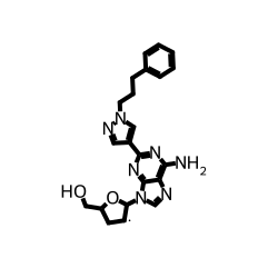 Nc1nc(-c2cnn(CCCc3ccccc3)c2)nc2c1ncn2C1[CH]CC(CO)O1